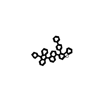 c1ccc(-c2ccc(-c3c(-c4cccc5c(-c6c7ccccc7c(-c7ccccc7)c7ccccc67)cccc45)ccc4oc5ccccc5c34)cc2)cc1